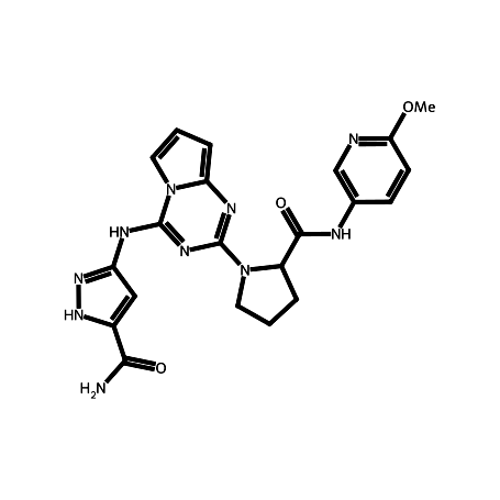 COc1ccc(NC(=O)C2CCCN2c2nc(Nc3cc(C(N)=O)[nH]n3)n3cccc3n2)cn1